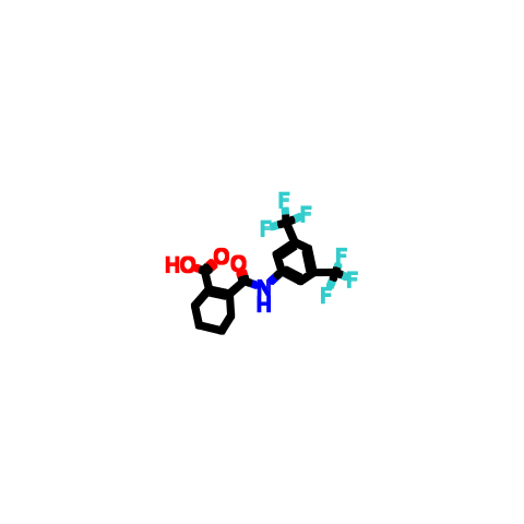 O=C(O)C1=C(C(=O)Nc2cc(C(F)(F)F)cc(C(F)(F)F)c2)CCCC1